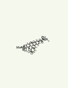 CNS(=O)(=O)Nc1cccc(Cc2c(CN3CCC(Cl)(Cl)CC3)c3ccc(OC(=O)N(C)C)cc3oc2=O)c1F